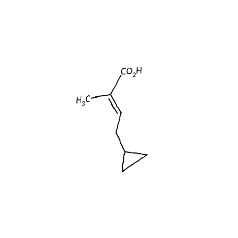 CC(=CCC1CC1)C(=O)O